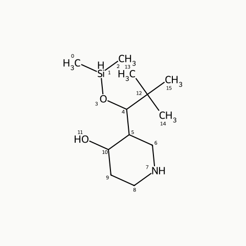 C[SiH](C)OC(C1CNCCC1O)C(C)(C)C